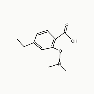 CCc1ccc(C(=O)O)c(ON(C)C)c1